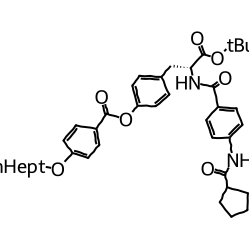 CCCCCCCOc1ccc(C(=O)Oc2ccc(C[C@@H](NC(=O)c3ccc(NC(=O)C4CCCC4)cc3)C(=O)OC(C)(C)C)cc2)cc1